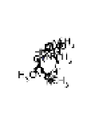 Cc1cc2cc(n1)-c1cnn(C)c1OCCCC(C)CN1/C(=N/C2=O)Nc2ccc(N=S(C)(C)=O)c(Cl)c21